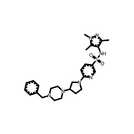 Cc1nn(C)c(C)c1NS(=O)(=O)c1ccc(N2CCC(N3CCN(Cc4ccccc4)CC3)C2)nc1